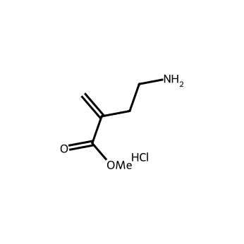 C=C(CCN)C(=O)OC.Cl